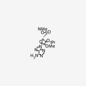 CNS(=O)(=O)CC[C@H]1O[C@@H](n2cnc3c(N)ncnc32)[C@H](OC)[C@@H]1OC(C)C